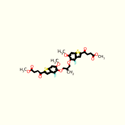 C=C(COc1c(OC)cc2sc(C(=O)CCC(=O)OC)cc2c1F)COc1c(OC)cc2sc(C(=O)CCC(=O)OC)cc2c1F